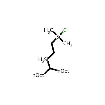 CCCCCCCCC(CCCCCCCC)[SiH2]CC[Si](C)(C)Cl